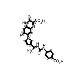 CC(NC(=O)Nc1ccc(C(=O)O)cc1)c1ccn(-c2cc3nc(C(=O)O)c(=O)[nH]c3cc2F)c1